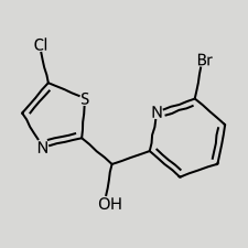 OC(c1cccc(Br)n1)c1ncc(Cl)s1